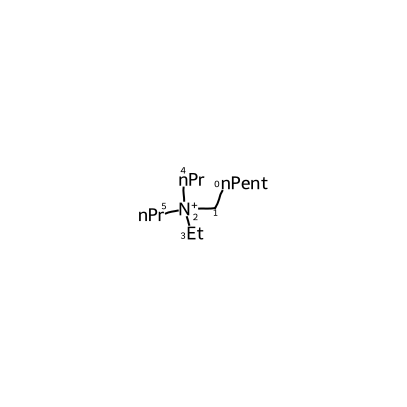 CCCCCC[N+](CC)(CCC)CCC